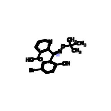 CC(C)(C)O/N=C(/c1cc(Br)ccc1O)c1ncccc1C(=O)O